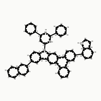 c1ccc(-c2cc(-n3c4ccc(-c5ccc6ccccc6c5)cc4c4cc5c6ccccc6c6cc(-c7cccc8ccoc78)ccc6c5cc43)nc(-c3ccccc3)n2)cc1